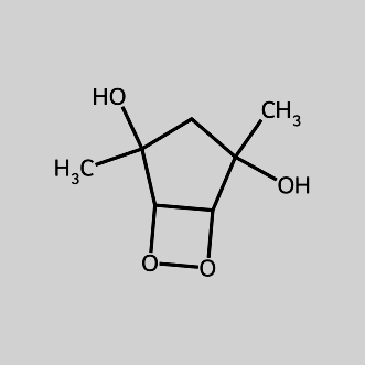 CC1(O)CC(C)(O)C2OOC21